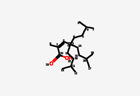 CC(=C[Si](CCC(C)C)(CCC(C)C)CCC(C)C)C(=O)O